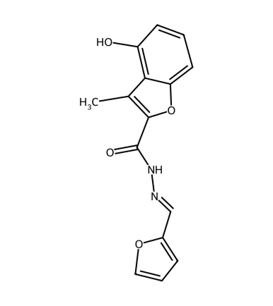 Cc1c(C(=O)NN=Cc2ccco2)oc2cccc(O)c12